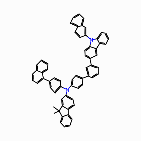 CC1(C)c2ccccc2-c2ccc(N(c3ccc(-c4cccc(-c5ccc6c(c5)c5ccccc5n6-c5ccc6ccccc6c5)c4)cc3)c3ccc(-c4cccc5ccccc45)cc3)cc21